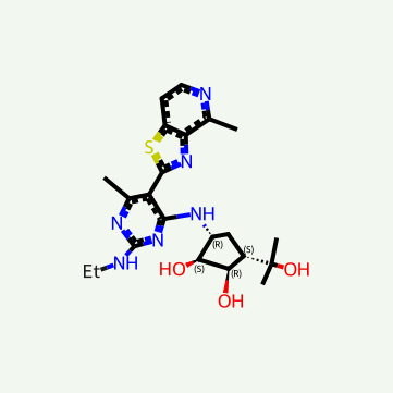 CCNc1nc(C)c(-c2nc3c(C)nccc3s2)c(N[C@@H]2C[C@H](C(C)(C)O)[C@@H](O)[C@H]2O)n1